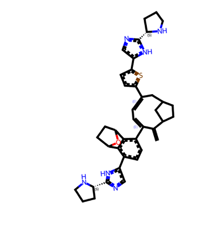 C=C1/C(c2ccc(-c3cnc([C@@H]4CCCN4)[nH]3)c3c2C2CCC3O2)=C\C=C(\c2ccc(-c3cnc([C@@H]4CCCN4)[nH]3)s2)CC2CCC1C2